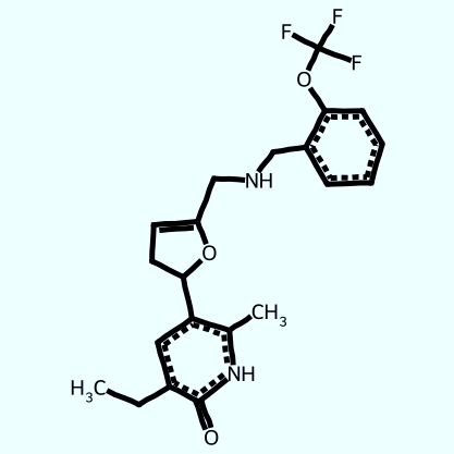 CCc1cc(C2CC=C(CNCc3ccccc3OC(F)(F)F)O2)c(C)[nH]c1=O